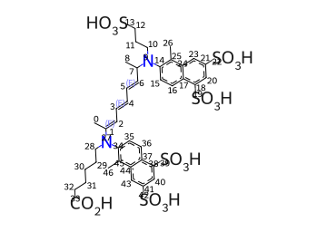 C\C(=C/C=C/C=C/C(C)N(CCCS(=O)(=O)O)c1ccc2c(S(=O)(=O)O)cc(S(=O)(=O)O)cc2c1C)N(CCCCCC(=O)O)c1ccc2c(S(=O)(=O)O)cc(S(=O)(=O)O)cc2c1C